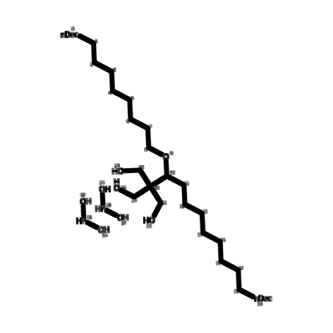 CCCCCCCCCCCCCCCCCCOC(CCCCCCCCCCCCCCCCCC)C(CO)(CO)CO.OPO.OPO